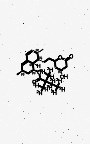 [2H]C([2H])([2H])C([2H])([2H])C(C(=O)O[C@H]1C[C@@H](C)C=C2C=C[C@H](C)[C@H](CCC3C[C@@H](O)CC(=O)O3)[C@H]21)(C([2H])([2H])[2H])C([2H])([2H])[2H]